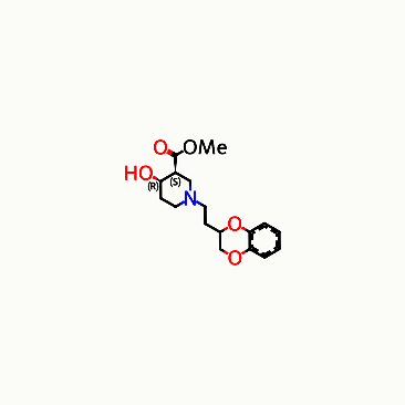 COC(=O)[C@H]1CN(CCC2COc3ccccc3O2)CC[C@H]1O